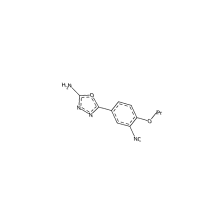 [C-]#[N+]c1cc(-c2nnc(N)o2)ccc1OC(C)C